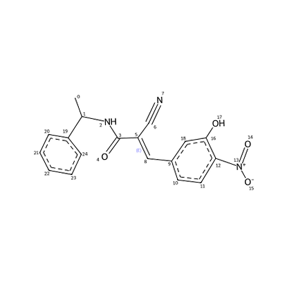 CC(NC(=O)/C(C#N)=C/c1ccc([N+](=O)[O-])c(O)c1)c1ccccc1